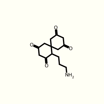 NCCCC1C(=O)CC(=O)CC12CC(=O)CC(=O)C2